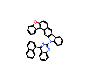 c1ccc2c(-c3nc(-n4c5ccccc5c5cc6ccc7oc8ccccc8c7c6cc54)nc4ccccc34)cccc2c1